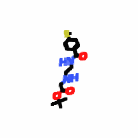 CC(C)(C)OC(=O)CNCCNC(=O)c1ccc([S])cc1